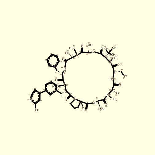 CC[C@H](C)[C@@H]1NC(=O)[C@@H]2CCCN2C(=O)[C@H](Cc2cccc(-c3ccnc(C(C)C)c3)c2)N(C)C(=O)[C@H](Cc2ccccc2)NC(=O)[C@H](C(C)C)N(C)C(=O)[C@@H]([C@@H](C)CC)OC(=O)[C@H](C(C)(C)O)N(C)C(=O)[C@H](CC(C)C)NC(=O)[C@H](C(C)C)N(C)C1=O